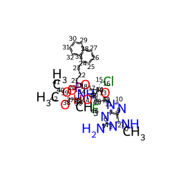 CNc1nc(N)nc2c1ncn2[C@@H]1O[C@]2(CCl)C(OP(=O)(CCCc3cccc4ccccc34)N[C@@H](C)C(=O)OC(C)C)[C@]2(O)[C@H]1F